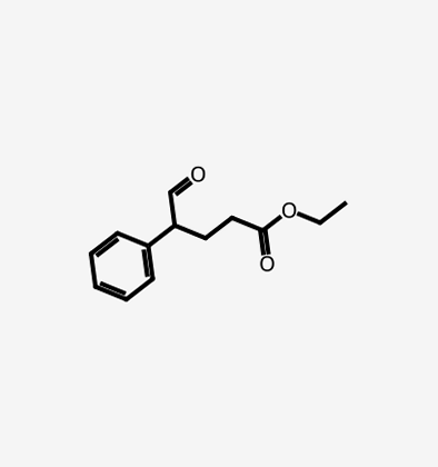 CCOC(=O)CCC(C=O)c1ccccc1